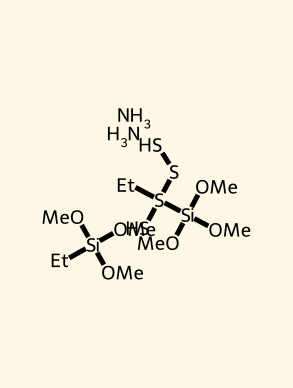 CCS(S)(SS)[Si](OC)(OC)OC.CC[Si](OC)(OC)OC.N.N